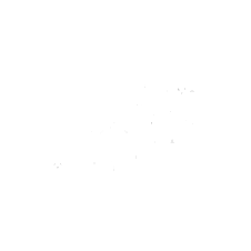 COC(=O)C(CCl)(OC(C)=O)c1ccc(OC)cc1